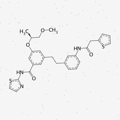 COC[C@H](C)Oc1cc(CCc2cccc(NC(=O)Cc3cccs3)c2)cc(C(=O)Nc2nccs2)c1